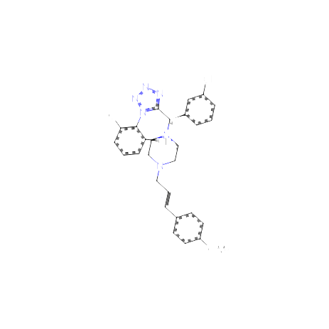 COc1ccc(/C=C/CN2CCN([C@H](c3cccc(C(F)(F)F)c3)c3nnnn3-c3c(C)cccc3C)CC2)cc1